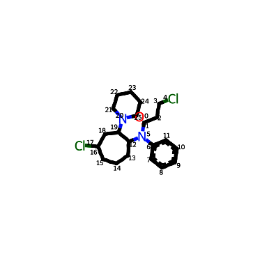 O=C(CCCl)N(c1ccccc1)C1CCCC(Cl)CC1N1CCCCC1